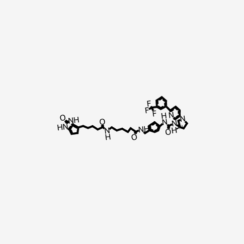 O=C(CCCCC1=c2[nH]c(=O)[nH]c2=CC1)NCCCCCC(=O)NCc1ccc(NC(=O)N2c3nc(-c4cccc(C(F)(F)F)c4)ccc3N3CC[C@H]2C3)cc1